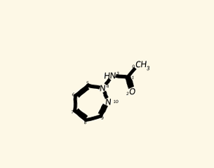 CC(=O)NN1C=CC=CC=N1